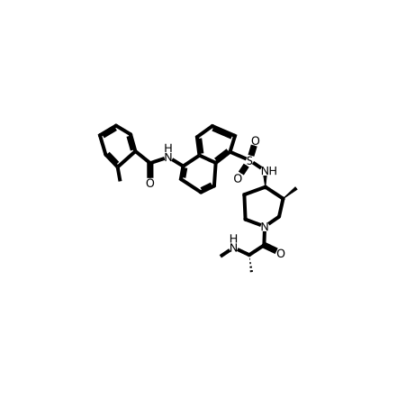 CN[C@@H](C)C(=O)N1CC[C@@H](NS(=O)(=O)c2cccc3c(NC(=O)c4ccccc4C)cccc23)[C@@H](C)C1